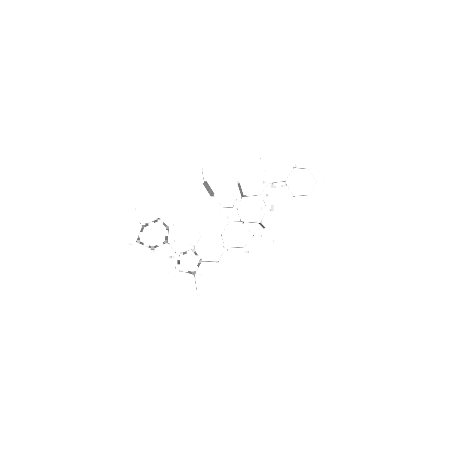 CC#CCN1C(=O)[C@@H]([C@H](O)C2CCCCC2)NC(=O)C12CCN(Cc1c(C)nn(-c3ccc(C)cc3)c1C)CC2